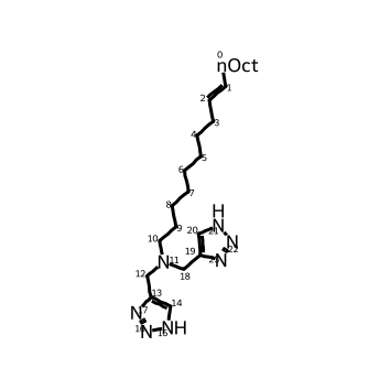 CCCCCCCCC=CCCCCCCCCN(Cc1c[nH]nn1)Cc1c[nH]nn1